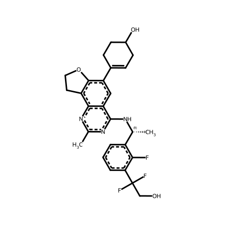 Cc1nc(N[C@H](C)c2cccc(C(F)(F)CO)c2F)c2cc(C3=CCC(O)CC3)c3c(c2n1)CCO3